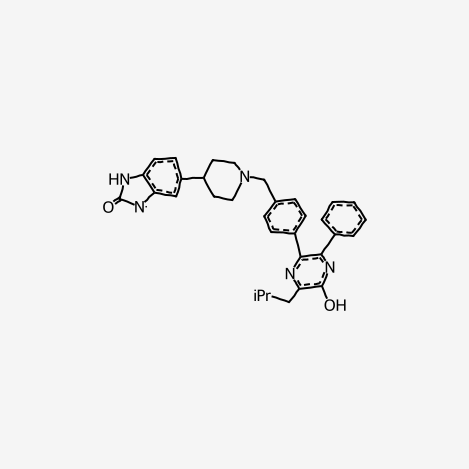 CC(C)Cc1nc(-c2ccc(CN3CCC(c4ccc5c(c4)[N]C(=O)N5)CC3)cc2)c(-c2ccccc2)nc1O